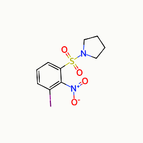 O=[N+]([O-])c1c(I)cccc1S(=O)(=O)N1CCCC1